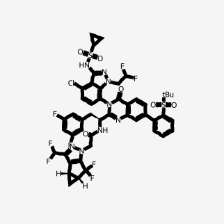 CC(C)(C)S(=O)(=O)c1ccccc1-c1ccc2c(=O)n(-c3ccc(Cl)c4c(NS(=O)(=O)C5CC5)nn(CC(F)F)c34)c([C@H](Cc3cc(F)cc(F)c3)NC(=O)Cn3nc(C(F)F)c4c3C(F)(F)[C@@H]3C[C@H]43)nc2c1